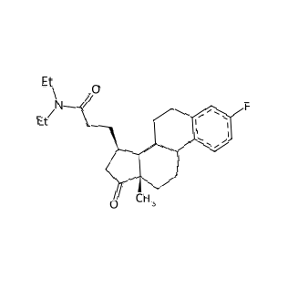 CCN(CC)C(=O)CC[C@@H]1CC(=O)[C@@]2(C)CCC3c4ccc(F)cc4CCC3C12